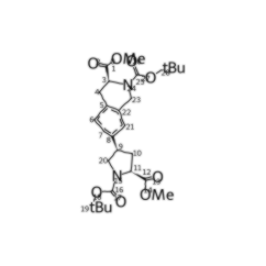 COC(=O)[C@@H]1Cc2ccc([C@H]3C[C@@H](C(=O)OC)N(C(=O)OC(C)(C)C)C3)cc2CN1C(=O)OC(C)(C)C